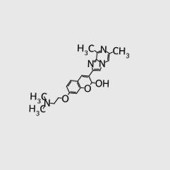 Cc1cn2cc(C3=Cc4ccc(OCCN(C)C)cc4OC3O)nc2c(C)n1